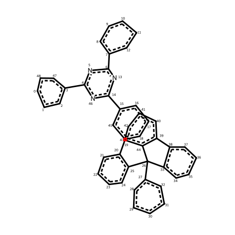 c1ccc(-c2nc(-c3ccccc3)nc(-c3cccc(-c4ccccc4C4(c5ccccc5)c5ccccc5-c5ccccc54)c3)n2)cc1